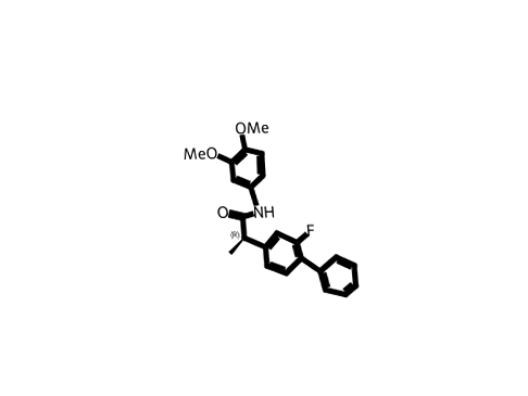 COc1ccc(NC(=O)[C@H](C)c2ccc(-c3ccccc3)c(F)c2)cc1OC